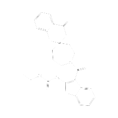 CCNC(=O)Nc1sc2ccccc2c1C(=O)N1CCCC2(CC1)CC(=O)c1ccccc1O2